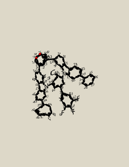 Fc1cc(-c2cc(-n3c4cc(-c5ccccc5)ccc4c4ccc(-c5ccccc5)cc43)c(C(F)(F)F)c(-n3c4cc(-c5ccccc5)ccc4c4ccc(-c5ccccc5)cc43)c2)cc(F)c1F